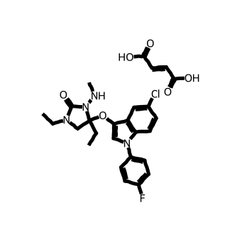 CCN1CC(CC)(Oc2cn(-c3ccc(F)cc3)c3ccc(Cl)cc23)N(NC)C1=O.O=C(O)C=CC(=O)O